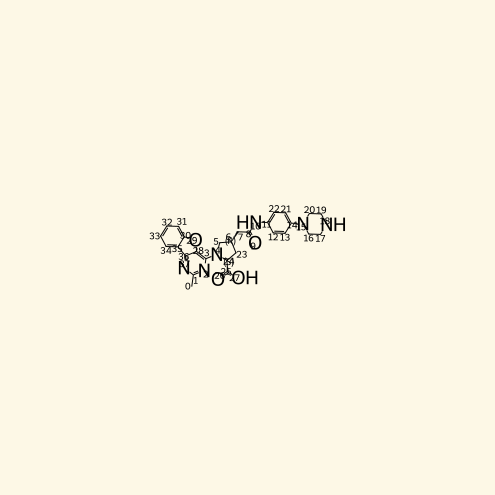 Cc1nc(N2C[C@@H](CC(=O)Nc3ccc(N4CCNCC4)cc3)C[C@H]2C(=O)O)c2oc3ccccc3c2n1